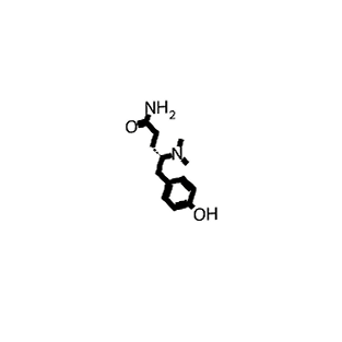 CN(C)[C@@H](CCC(N)=O)Cc1ccc(O)cc1